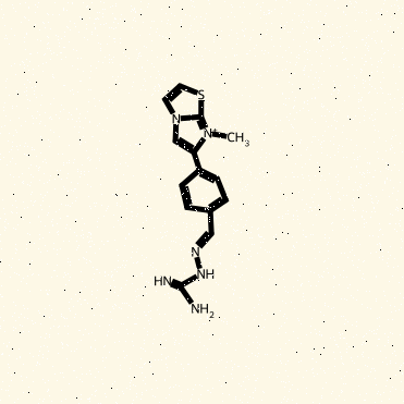 C[n+]1c(-c2ccc(C=NNC(=N)N)cc2)cn2ccsc21